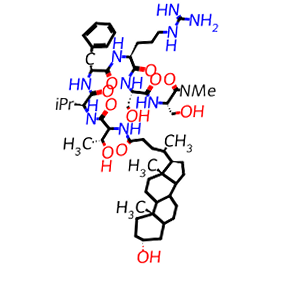 CNC(=O)[C@H](CO)NC(=O)[C@H](CO)NC(=O)[C@H](CCCNC(=N)N)NC(=O)[C@H](Cc1ccccc1)NC(=O)[C@@H](NC(=O)C(NC(=O)CC[C@@H](C)[C@H]1CCC2C3CCC4C[C@H](O)CC[C@]4(C)C3CC[C@@]21C)[C@@H](C)O)C(C)C